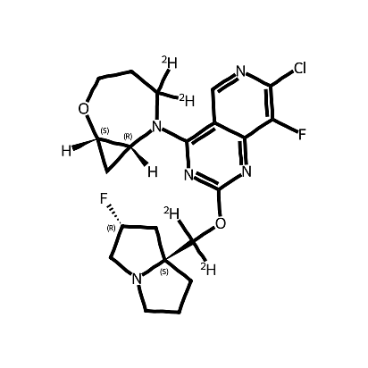 [2H]C1([2H])CCO[C@H]2C[C@H]2N1c1nc(OC([2H])([2H])[C@@]23CCCN2C[C@H](F)C3)nc2c(F)c(Cl)ncc12